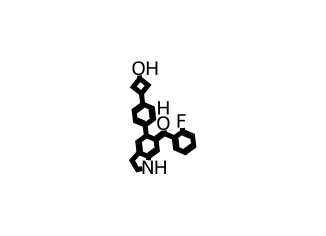 OC(=C1C=C2NCCC2=CC1c1ccc(C2CC(O)C2)cc1)c1ccccc1F